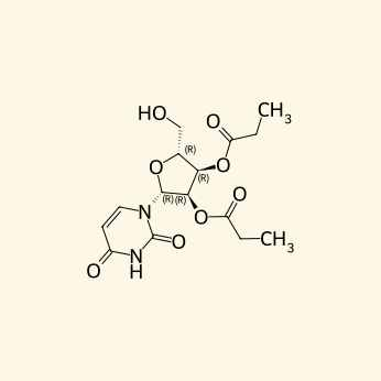 CCC(=O)O[C@@H]1[C@H](OC(=O)CC)[C@@H](CO)O[C@H]1n1ccc(=O)[nH]c1=O